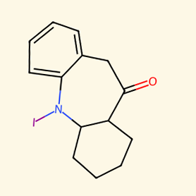 O=C1Cc2ccccc2N(I)C2CCCCC12